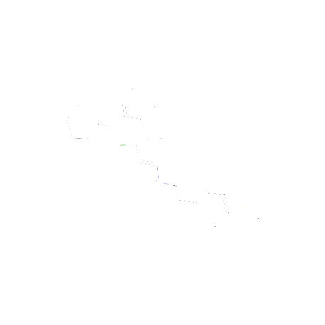 CCS(=O)(=O)c1ccc(CC(=O)Nc2ccc(-c3ccccc3OC3CCN(C)CC3)c(Cl)c2)cc1